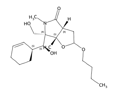 CCCCOC1C[C@H]2C(=O)N(C)[C@](CO)([C@@H](O)[C@@H]3C=CCCC3)[C@@]2(C)O1